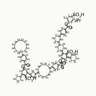 Cc1cc(S(=O)(=O)O)c(C(C)C)cc1OC(=O)c1ccc(C2CCCC(C3CCC(c4cc(OS(=O)(=O)c5ccc(C6CCCCCC(C7CCC(c8cc(OC(=O)c9ccc(C%10CCCCCCCCCCC%10)cc9)cc(C9CCCC9)c8S(=O)(=O)O)C7)CCCCC6)cc5)cc(C5CCCCC5)c4S(=O)(=O)O)CC3)C2)cc1